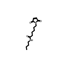 CCCCNC(=O)CCCCCN1C(=O)C=CC1=O